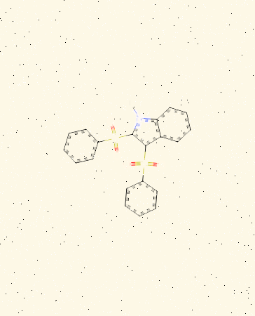 CCn1c(S(=O)(=O)c2ccccc2)c(S(=O)(=O)c2ccccc2)c2ccccc21